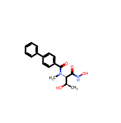 C[C@@H](O)[C@@H](C(=O)NO)N(C)C(=O)c1ccc(-c2ccccc2)cc1